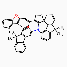 CC1(C)C2=C3c4c(cccc41)N(c1c#cc4c(c1)-c1ccccc1C4(C)C)C1=C(C4=Cc5oc6ccccc6c5CC4)C=CC31CC=C2